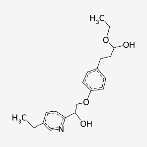 CCOC(O)CCc1ccc(OCC(O)c2ccc(CC)cn2)cc1